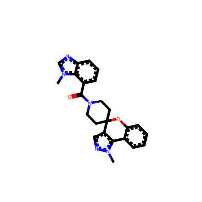 Cn1ncc2c1-c1ccccc1OC21CCN(C(=O)c2cccc3ncn(C)c23)CC1